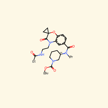 CCC(=O)NCCN1C(=O)C2(CC2)Oc2ccc(C(=O)N(C(C)C)[C@@H]3CCCN(C(=O)OC(C)(C)C)C3)cc21